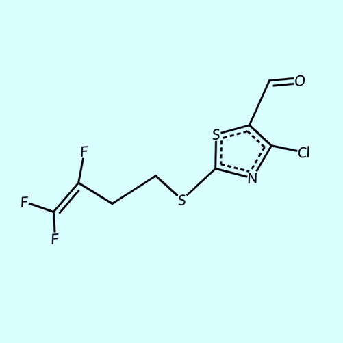 O=Cc1sc(SCCC(F)=C(F)F)nc1Cl